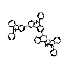 c1ccc(-n2c3ccccc3c3cc(-c4ccc5c(c4)c4cc(C6Cc7c(nc8n(-c9ccccc9)c9ccccc9n78)-c7ccccc76)ccc4n5-c4ccccc4)ccc32)cc1